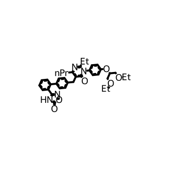 CCCc1nc(CC)n(-c2ccc(OC(COCC)COCC)cc2)c(=O)c1Cc1ccc(-c2ccccc2-c2noc(=O)[nH]2)cc1